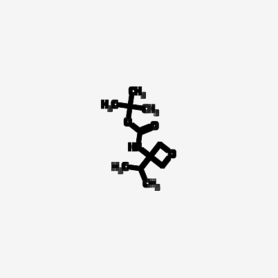 CC(C)C1(NC(=O)OC(C)(C)C)COC1